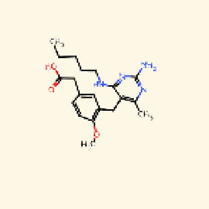 CCCCCNc1nc(N)nc(C)c1Cc1cc(CC(=O)O)ccc1OC